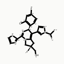 OC[C@@]1(F)CC2=C(c3cnn(C(F)F)c3)[C@H](c3ccc(F)cc3Cl)N=C(c3nccs3)N2C1